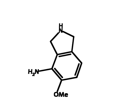 COc1ccc2c(c1N)CNC2